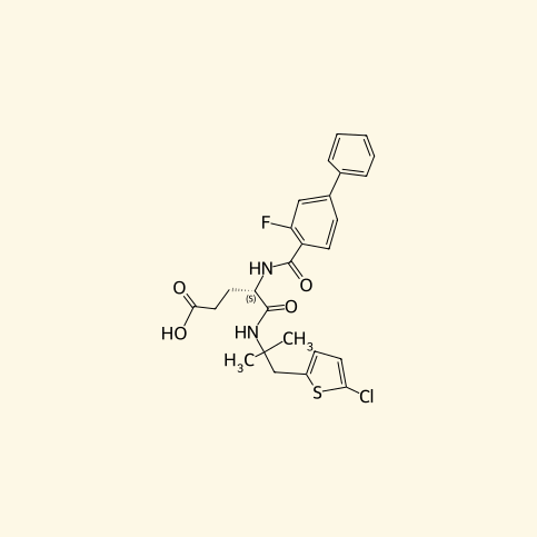 CC(C)(Cc1ccc(Cl)s1)NC(=O)[C@H](CCC(=O)O)NC(=O)c1ccc(-c2ccccc2)cc1F